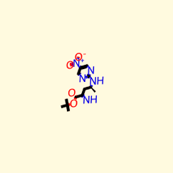 C[C@@H](CC(=N)C(=O)OC(C)(C)C)Nc1ncc([N+](=O)[O-])cn1